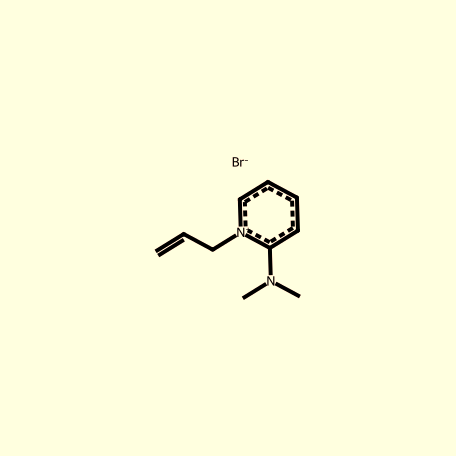 C=CC[n+]1ccccc1N(C)C.[Br-]